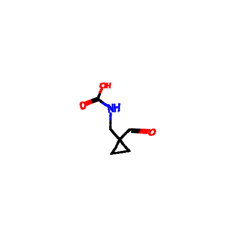 O=CC1(CNC(=O)O)CC1